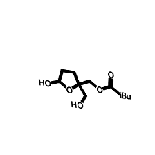 CCC(C)C(=O)OCC1(CO)CCC(O)O1